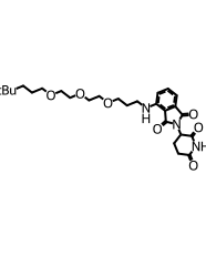 CC(C)(C)CCCOCCOCCOCCCNc1cccc2c1C(=O)N(C1CCC(=O)NC1=O)C2=O